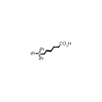 CC(C)[Si](C/C=C/CCC(=O)O)(C(C)C)C(C)C